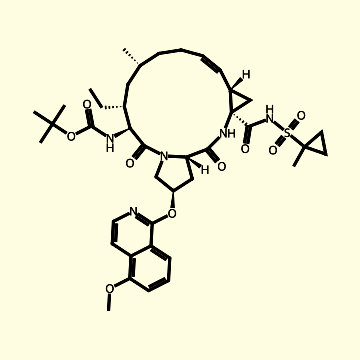 CC[C@@H]1C[C@H](C)CC/C=C\[C@@H]2C[C@@]2(C(=O)NS(=O)(=O)C2(C)CC2)NC(=O)[C@@H]2C[C@@H](Oc3nccc4c(OC)cccc34)CN2C(=O)[C@H]1NC(=O)OC(C)(C)C